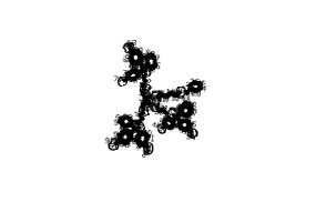 COc1ccc(C(OCCCOCC(COCCCCOCc2ccccc2)(COCCCOC(c2ccccc2)(c2ccc(OC)cc2)c2ccc(OC)cc2)COCCCOC(c2ccccc2)(c2ccc(OC)cc2)c2ccc(OC)cc2)(c2ccccc2)c2ccc(OC)cc2)cc1